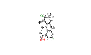 N#Cc1cc(F)cc2c1[C@@H](c1ccc(C(F)(F)F)c(Cl)c1C#N)CC[C@@H]2O